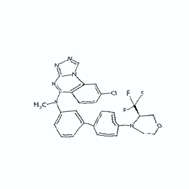 CN(c1cccc(-c2ccc(N3CCOC[C@@H]3C(F)(F)F)cc2)c1)c1nc2nncn2c2cc(Cl)ccc12